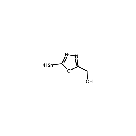 OCc1nn[c]([SnH])o1